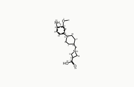 COc1cc(N2CCC(CN3CC(C(=O)O)C3)CC2)ccc1N